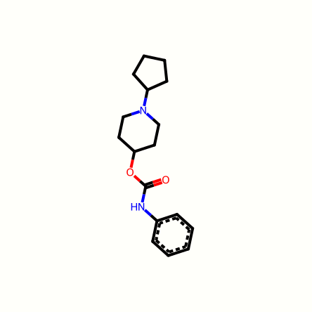 O=C(Nc1ccccc1)OC1CCN(C2CCCC2)CC1